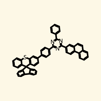 c1ccc(-c2nc(-c3ccc(-c4ccc5c(c4)Sc4ccccc4C54c5ccccc5-c5ccccc54)cc3)nc(-c3ccc4c(ccc5ccccc54)c3)n2)cc1